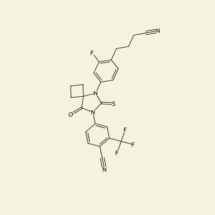 N#CCCCc1ccc(N2C(=S)N(c3ccc(C#N)c(C(F)(F)F)c3)C(=O)C23CCC3)cc1F